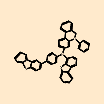 c1ccc(N2Cc3ccccc3-c3ccc(N(c4ccc(-c5ccc6sc7ccccc7c6c5)cc4)c4cccc5c4sc4ccccc45)cc32)cc1